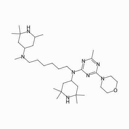 Cc1nc(N2CCOCC2)nc(N(CCCCCCN(C)C2CC(C)NC(C)(C)C2)C2CC(C)(C)NC(C)(C)C2)n1